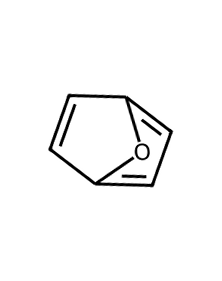 c1cc2ccc1o2